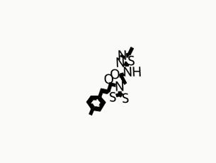 Cc1ccc(/C=C2\SC(=S)N(CC(=O)Nc3nnc(C)s3)C2=O)cc1